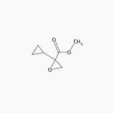 COC(=O)C1(C2CC2)CO1